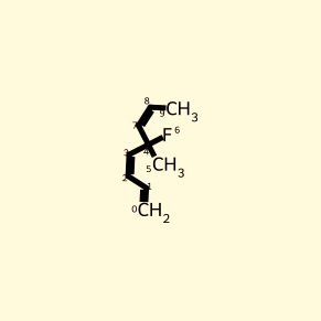 C=C/C=C\C(C)(F)/C=C\C